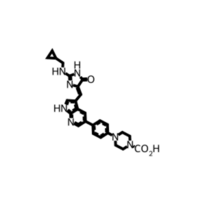 O=C1NC(NCC2CC2)=N/C1=C\c1c[nH]c2ncc(-c3ccc(N4CCN(C(=O)O)CC4)cc3)cc12